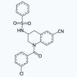 N#Cc1ccc2c(c1)CC(NS(=O)(=O)c1ccccc1)CN2C(=O)c1cccc(Cl)c1